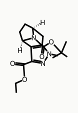 CCOC(=O)c1nn(C)c2c1[C@H]1CC[C@@H](C2)N1C(=O)OC(C)(C)C